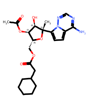 CC(=O)O[C@H]1[C@@H](O)[C@](C)(c2ccc3c(N)ncnn23)O[C@@H]1COC(=O)CC1CCCCC1